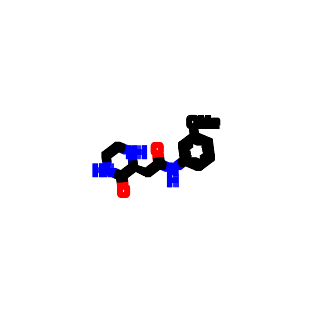 COc1cccc(NC(=O)C[C@@H]2NCCNC2=O)c1